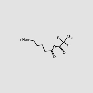 CCCCCCCCCCCCCC(=O)OC(=O)C(F)(F)C(F)(F)F